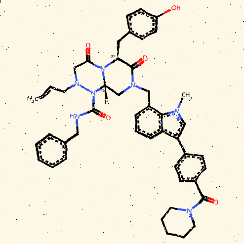 C=CCN1CC(=O)N2[C@@H](Cc3ccc(O)cc3)C(=O)N(Cc3cccc4c(-c5ccc(C(=O)N6CCCCC6)cc5)cn(C)c34)C[C@@H]2N1C(=O)NCc1ccccc1